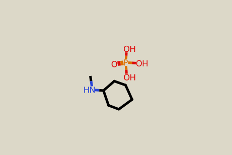 CNC1CCCCC1.O=P(O)(O)O